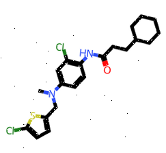 CN(Cc1ccc(Cl)s1)c1ccc(NC(=O)CCC2CCCCC2)c(Cl)c1